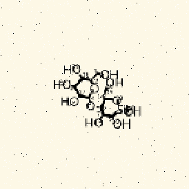 OC[C@H]1O[C@@H](O[C@H]2[C@H](O)[C@@H](O)[SiH](O)O[C@@H]2CO)[C@H](O)[C@@H](O)[C@H]1O